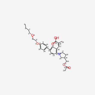 CCCCOCCOc1ccc(-c2ccc(N3CCC(COC(C)=O)C3)c(C=C(C)C(=O)O)c2)cc1